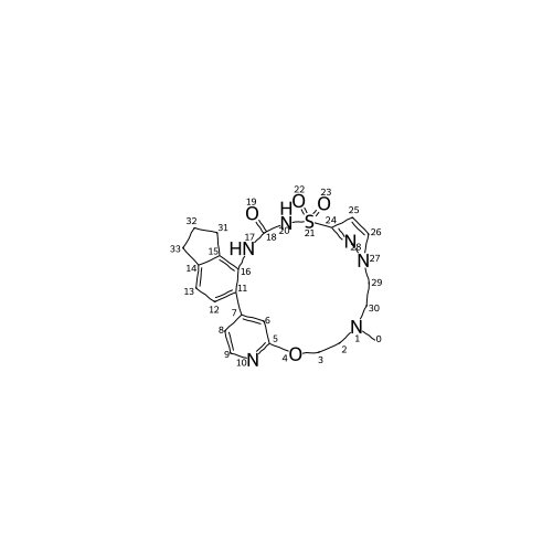 CN1CCOc2cc(ccn2)-c2ccc3c(c2NC(=O)NS(=O)(=O)c2ccn(n2)CC1)CCC3